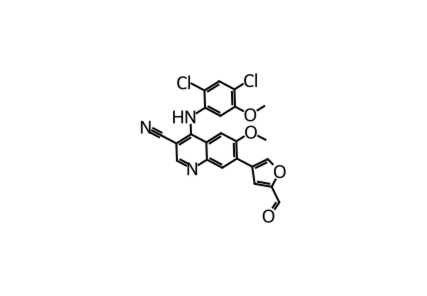 COc1cc(Nc2c(C#N)cnc3cc(-c4coc(C=O)c4)c(OC)cc23)c(Cl)cc1Cl